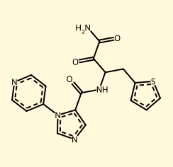 NC(=O)C(=O)C(Cc1cccs1)NC(=O)c1cncn1-c1ccncc1